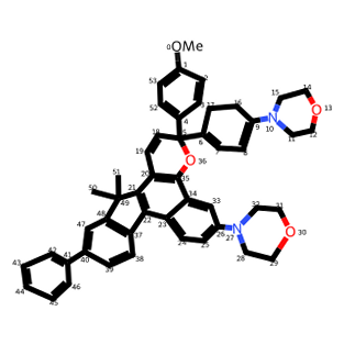 COc1ccc(C2(C3=CC=C(N4CCOCC4)CC3)C=Cc3c4c(c5ccc(N6CCOCC6)cc5c3O2)-c2ccc(-c3ccccc3)cc2C4(C)C)cc1